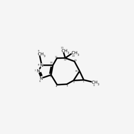 CC1C2CCc3nnn(C)c3CC(C)(C)CC12